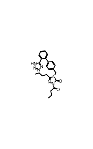 CCCCc1nn(C(=O)CCC)c(=O)n1Cc1ccc(-c2ccccc2-c2nnn[nH]2)cc1